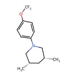 C[C@@H]1C[C@H](C)CN(c2ccc(OC(F)(F)F)cc2)C1